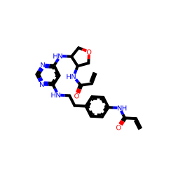 C=CC(=O)Nc1ccc(CCNc2cc(NC3COCC3NC(=O)C=C)ncn2)cc1